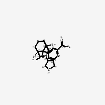 COC1(c2ccnc(C(N)=O)c2)[C@@H]2CCC[C@H]1CN(C1CCOC1)C2